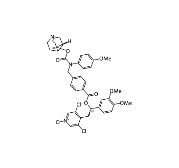 COc1ccc(N(Cc2ccc(C(=O)O[C@H](Cc3c(Cl)c[n+]([O-])cc3Cl)c3ccc(OC)c(OC)c3)cc2)C(=O)O[C@H]2CN3CCC2CC3)cc1